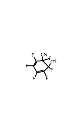 N#CC1(F)C(F)=C(F)C(F)=C(F)C1(F)C#N